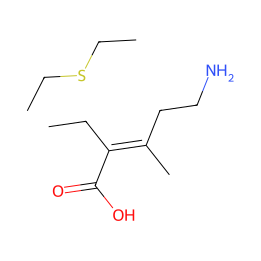 CCC(C(=O)O)=C(C)CCN.CCSCC